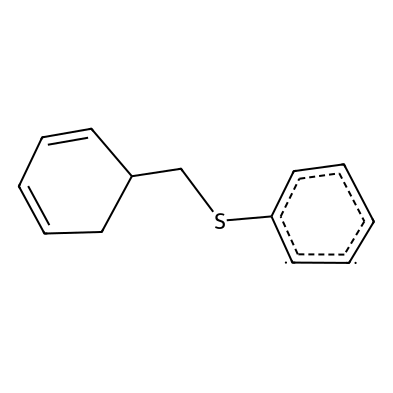 [c]1[c]c(SCC2C=CC=CC2)ccc1